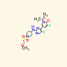 COCCS(=O)(=O)N1CCC(Nc2ncc(F)c(-c3cc(F)c(=O)n(C(C)C)c3)n2)CC1